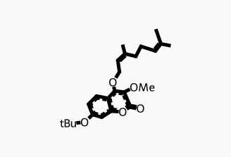 COc1c(OCC=C(C)CCC=C(C)C)c2ccc(OC(C)(C)C)cc2oc1=O